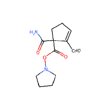 NC(=O)C1(C(=O)ON2CCCC2)CCC=C1C=O